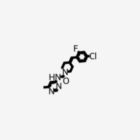 Cc1cc(NC(=O)N2CCC(=Cc3ccc(Cl)cc3F)CC2)ncn1